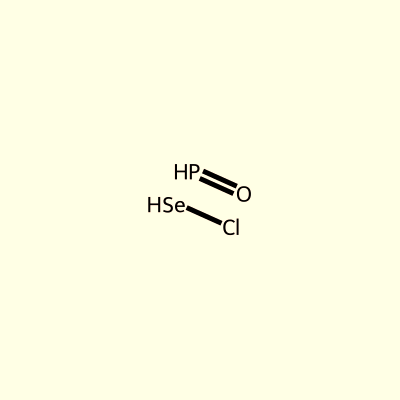 Cl[SeH].O=P